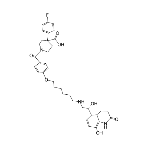 O=C(c1ccc(OCCCCCCNC[C@H](O)c2ccc(O)c3[nH]c(=O)ccc23)cc1)N1CCC(C(=O)O)(c2ccc(F)cc2)CC1